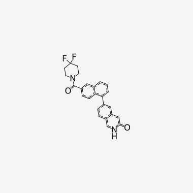 O=C(c1ccc2c(-c3ccc4c[nH]c(=O)cc4c3)cccc2c1)N1CCC(F)(F)CC1